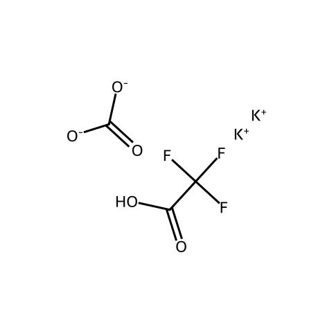 O=C(O)C(F)(F)F.O=C([O-])[O-].[K+].[K+]